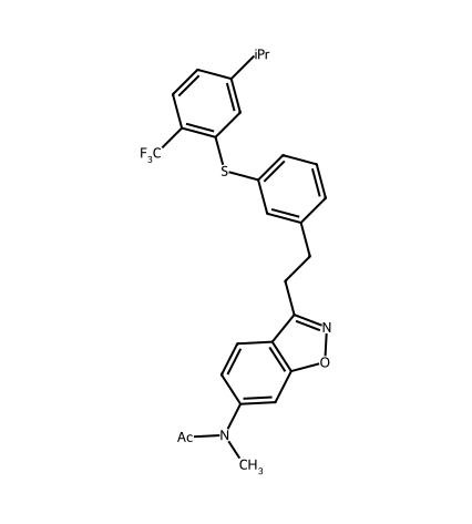 CC(=O)N(C)c1ccc2c(CCc3cccc(Sc4cc(C(C)C)ccc4C(F)(F)F)c3)noc2c1